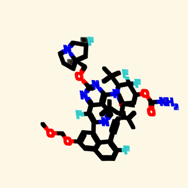 COCOc1cc(-c2ncc3c(N4CCC(OC(N)=O)C(F)(F)C4C(C)(C)C)nc(OC[C@@]45CCCN4C[C@H](F)C5)nc3c2F)c2c(C#C[Si](C(C)C)(C(C)C)C(C)C)c(F)ccc2c1